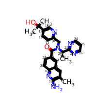 Cc1cc2cc(C(=O)N(Cc3ccc(C(C)(C)O)cn3)[C@H](C)c3ncccn3)ccc2nc1N